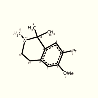 COc1cc2c(cc1C(C)C)C(C)(C)N(C)CC2